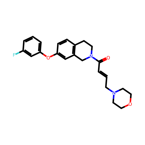 O=C(/C=C/CN1CCOCC1)N1CCc2ccc(Oc3cccc(F)c3)cc2C1